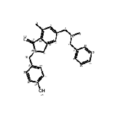 Cc1cc(CN(C)Cc2ccccc2)cc2c1C(=O)N(Cc1ccc(O)cc1)C2